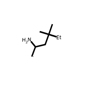 [CH2]C(N)CC(C)(C)CC